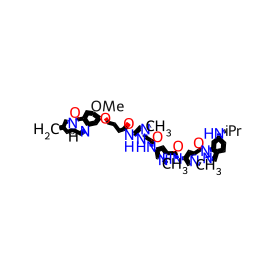 C=C1C[C@H]2C=Nc3cc(OCCCC(=O)Nc4cn(C)c(C(=O)Nc5cc(C(=O)Nc6cc(C(=O)n7ncc8ccc(NC(C)C)cc87)n(C)c6)n(C)c5)n4)c(OC)cc3C(=O)N2C1